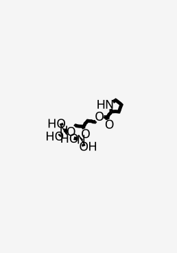 O=C(OCCC(CON(O)O)ON(O)O)C1CCCN1